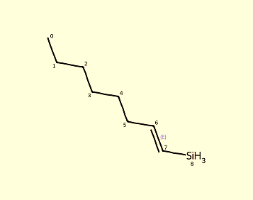 CCCCCC/C=C/[SiH3]